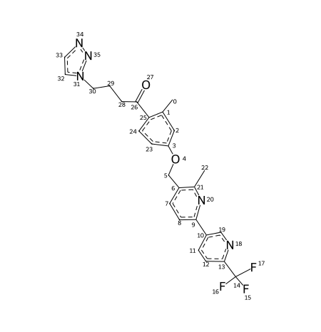 Cc1cc(OCc2ccc(-c3ccc(C(F)(F)F)nc3)nc2C)ccc1C(=O)CCCn1ccnn1